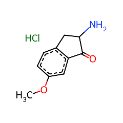 COc1ccc2c(c1)C(=O)C(N)C2.Cl